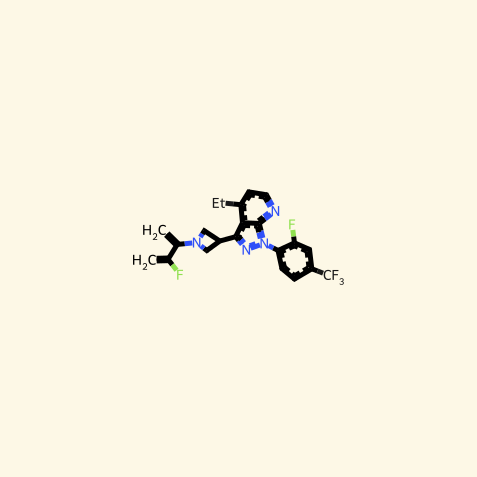 C=C(F)C(=C)N1CC(c2nn(-c3ccc(C(F)(F)F)cc3F)c3nccc(CC)c23)C1